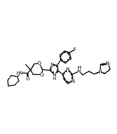 CC1(C(=O)NC2CCCCC2)COC(c2nc(-c3ccc(F)cc3)c(-c3ccnc(NCCCN4C=NCC4)n3)[nH]2)OC1